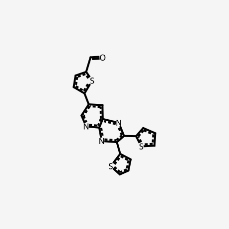 O=Cc1ccc(-c2cnc3nc(-c4cccs4)c(-c4cccs4)nc3c2)s1